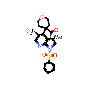 COC(=O)C1(c2c([N+](=O)[O-])cnc3c2ccn3S(=O)(=O)c2ccccc2)CCOCC1